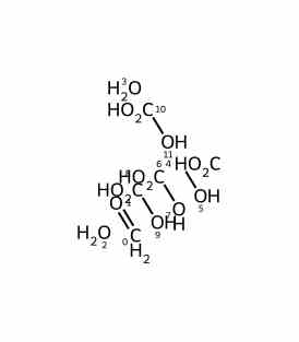 C=O.O.O.O=C(O)O.O=C(O)O.O=C(O)O.O=C(O)O